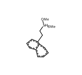 CO[SiH](CCc1cccc2ccccc12)OC